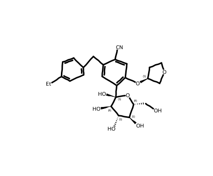 CCc1ccc(Cc2cc([C@]3(O)O[C@H](CO)[C@@H](O)[C@H](O)[C@H]3O)c(O[C@H]3CCOC3)cc2C#N)cc1